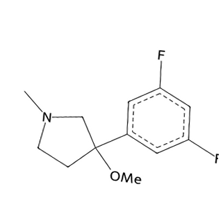 COC1(c2cc(F)cc(F)c2)CCN(C)C1